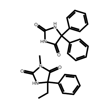 CCC1(c2ccccc2)NC(=O)N(C)C1=O.O=C1NC(=O)C(c2ccccc2)(c2ccccc2)N1